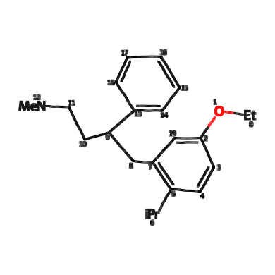 CCOc1ccc(C(C)C)c(CC(CCNC)c2ccccc2)c1